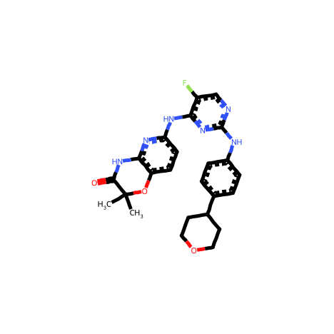 CC1(C)Oc2ccc(Nc3nc(Nc4ccc(C5CCOCC5)cc4)ncc3F)nc2NC1=O